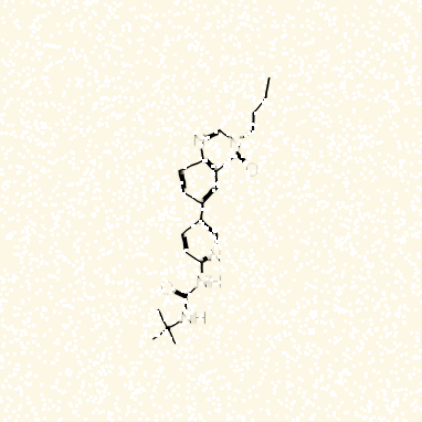 CCCCn1cnc2ccc(-c3ccc(NC(=O)NC(C)(C)C)nc3)cc2c1=O